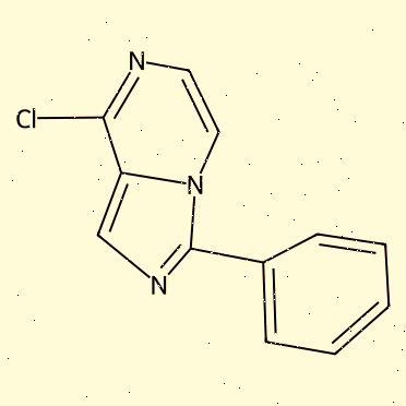 Clc1nccn2c(-c3ccccc3)ncc12